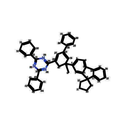 CC1(c2ccc3c(c2)C2(CCCC2)c2ccccc2-3)C=C(c2ccccc2)C=C(c2nc(-c3ccccc3)nc(-c3ccccc3)n2)C1